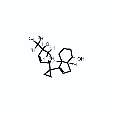 [2H]C([2H])([2H])C(O)(/C=C\CC1(C2=CC[C@H]3[C@@H](O)CCC[C@@]23C)CC1)C([2H])([2H])[2H]